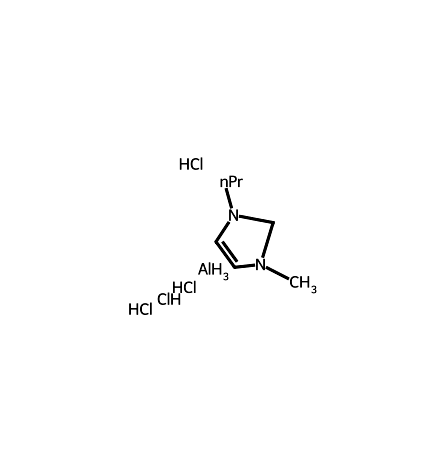 CCCN1C=CN(C)C1.Cl.Cl.Cl.Cl.[AlH3]